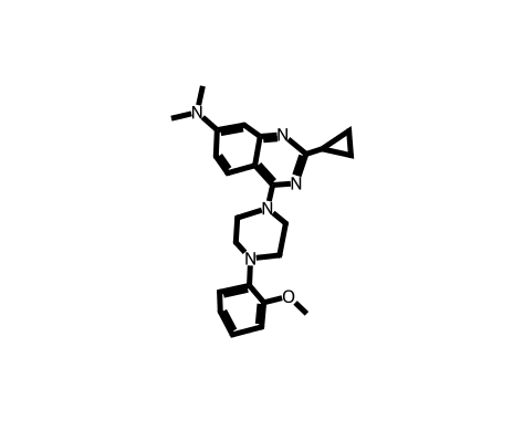 COc1ccccc1N1CCN(c2nc(C3CC3)nc3cc(N(C)C)ccc23)CC1